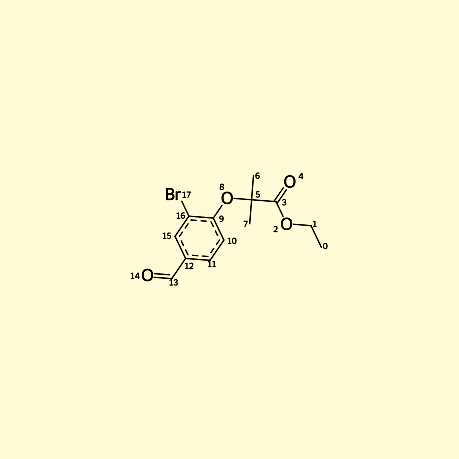 CCOC(=O)C(C)(C)Oc1ccc(C=O)cc1Br